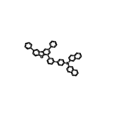 c1ccc(-c2ccc3oc4c(-c5cccc(-c6ccc(N(c7ccc8ccccc8c7)c7ccc8ccccc8c7)cc6)c5)cc(-c5ccccc5)cc4c3c2)cc1